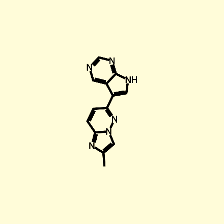 Cc1cn2nc(-c3c[nH]c4ncncc34)ccc2n1